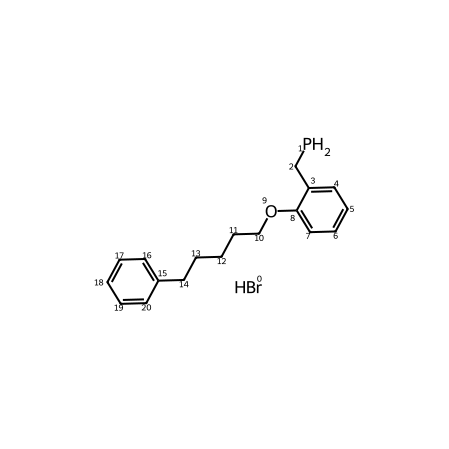 Br.PCc1ccccc1OCCCCCc1ccccc1